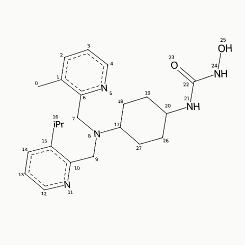 Cc1cccnc1CN(Cc1ncccc1C(C)C)C1CCC(NC(=O)NO)CC1